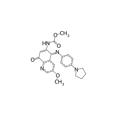 COC(=O)NC1=CC(=O)c2ncc(OC)cc2C1=Nc1ccc(N2CCCC2)cc1